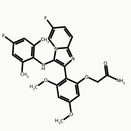 COc1cc(OC)c(-c2nc3ccc(F)cn3c2Nc2c(C)cc(F)cc2C)c(OCC(N)=O)c1